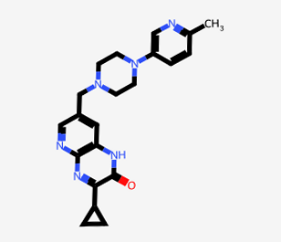 Cc1ccc(N2CCN(Cc3cnc4nc(C5CC5)c(=O)[nH]c4c3)CC2)cn1